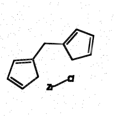 C1=CCC(CC2=CC=CC2)=C1.[Cl][Zr]